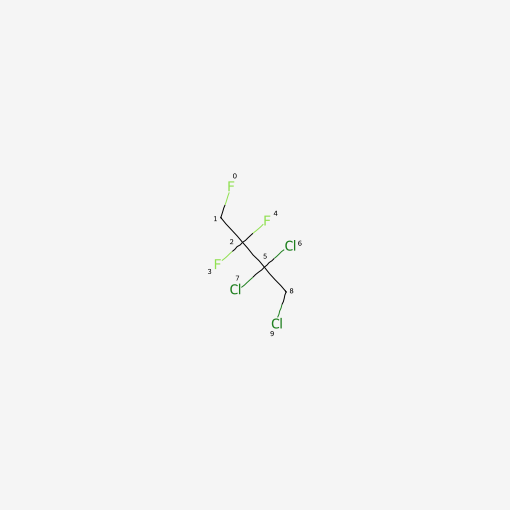 FCC(F)(F)C(Cl)(Cl)CCl